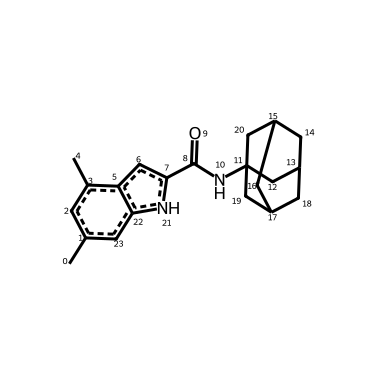 Cc1cc(C)c2cc(C(=O)NC34CC5CC(CC(C5)C3)C4)[nH]c2c1